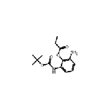 CCC(=O)Oc1c(N)cccc1NC(=O)OC(C)(C)C